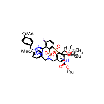 COc1ccc(CN(Cc2ccc(OC)cc2)S(=O)(=O)c2c(S(=O)(=O)[C@@H](CNC(=O)OC(C)(C)C)CO[Si](C)(C)C(C)(C)C)ccc(I)c2-c2nnn(Cc3ccc(OC)cc3)n2)cc1